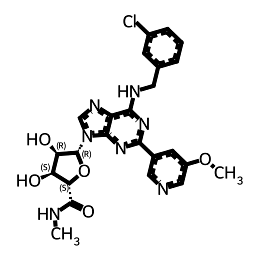 CNC(=O)[C@H]1O[C@@H](n2cnc3c(NCc4cccc(Cl)c4)nc(-c4cncc(OC)c4)nc32)[C@H](O)[C@@H]1O